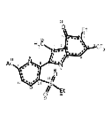 CCn1c(C(F)(F)F)cc2nc(-c3nc(C(C)=O)ccc3S(=O)(=O)CC)n(C)c2c1=O